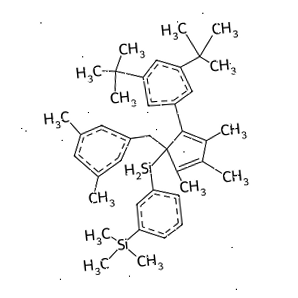 CC1=C(C)C(Cc2cc(C)cc(C)c2)([SiH2]c2cccc([Si](C)(C)C)c2)C(c2cc(C(C)(C)C)cc(C(C)(C)C)c2)=C1C